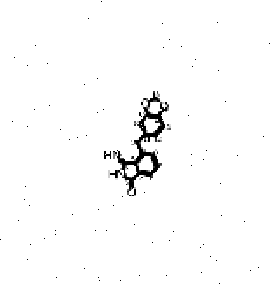 N=C1NC(=O)c2cccc(Cc3ccc4c(c3)OCO4)c21